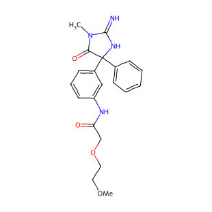 COCCOCC(=O)Nc1cccc(C2(c3ccccc3)NC(=N)N(C)C2=O)c1